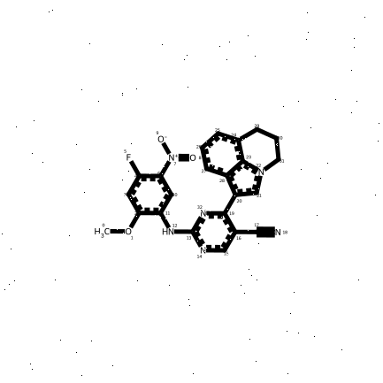 COc1cc(F)c([N+](=O)[O-])cc1Nc1ncc(C#N)c(-c2cn3c4c(cccc24)CCC3)n1